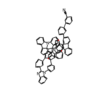 N#Cc1cccc(-c2cccc(-c3ccc4c(c3)C3(c5ccccc5-4)c4ccccc4-n4c5ccc(-c6cccc(-c7nc8ccccc8n7-c7cccc(-c8ccc9c(c8)-c8ccccc8C98c9ccccc9-n9c%10ccccc%10c%10cccc8c%109)c7)c6)cc5c5cccc3c54)c2)c1